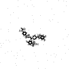 CC(=O)Nc1ccc(S(=O)(=O)CCC(=O)N2CCC([C@H](N)Cc3cc(F)c(F)cc3F)CC2)cc1.Cc1ccc(S(=O)(=O)O)cc1